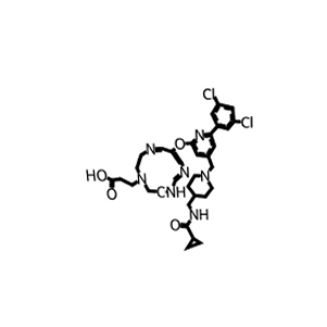 O=C(O)CCN1CC\N=C/C(Oc2cc(CN3CCC(CNC(=O)C4CC4)CC3)cc(-c3cc(Cl)cc(Cl)c3)n2)=C\N=C\NCC1